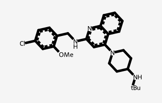 COc1cc(Cl)ccc1CNc1cc(N2CCC(NC(C)(C)C)CC2)c2ccccc2n1